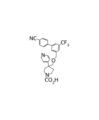 N#Cc1ccc(-c2cc(COCC3(c4ccncc4)CCN(C(=O)O)CC3)cc(C(F)(F)F)c2)cc1